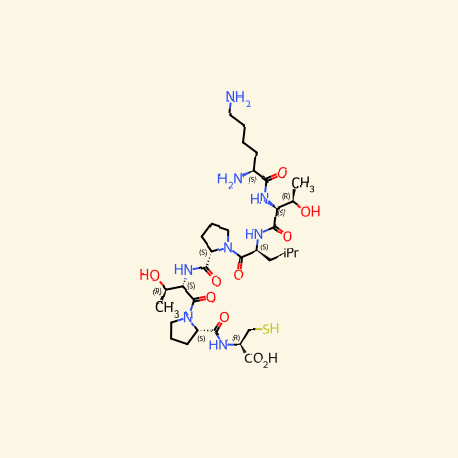 CC(C)C[C@H](NC(=O)[C@@H](NC(=O)[C@@H](N)CCCCN)[C@@H](C)O)C(=O)N1CCC[C@H]1C(=O)N[C@H](C(=O)N1CCC[C@H]1C(=O)N[C@@H](CS)C(=O)O)[C@@H](C)O